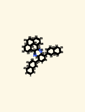 c1ccc2cc(-c3ccc(-c4ccc5ccccc5c4)c4nc5c6cccc7ccc8cccc(c5nc34)c8c76)ccc2c1